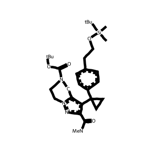 CNC(=O)c1nn2c(c1C1(c3ccc(CCO[Si](C)(C)C(C)(C)C)cc3)CC1)CN(C(=O)OC(C)(C)C)CC2